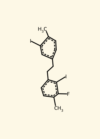 Cc1ccc(CCc2ccc(C)c(F)c2I)cc1I